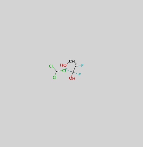 CO.ClC(Cl)Cl.OC(F)(F)CF